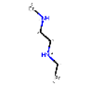 CCNCCNCC(C)C